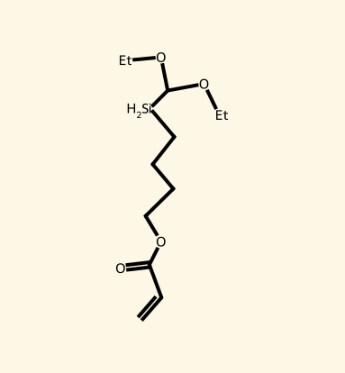 C=CC(=O)OCCCC[SiH2]C(OCC)OCC